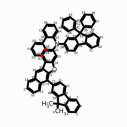 CC1(C)c2ccccc2-c2ccc(-c3c4ccccc4cc4c3oc3cc(N(c5ccc6c(c5)C(c5ccccc5)(c5ccccc5)c5ccccc5-6)c5ccccc5-c5ccccc5)ccc34)cc21